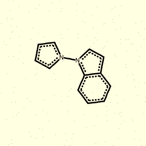 c1ccc2c(c1)ccn2-n1cccc1